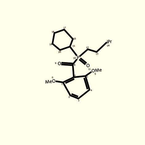 COc1cccc(OC)c1C(=O)P(=O)(CCC(C)C)C1CCCCC1